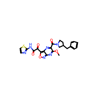 COc1nc2noc(C(=O)C(=O)Nc3nccs3)c2nc1C(=O)N1CCC(Cc2ccccc2)C1